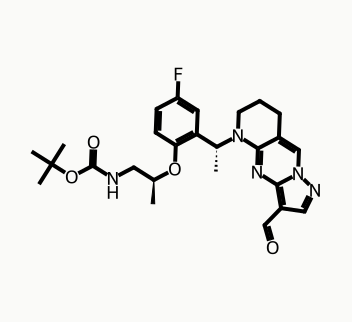 C[C@H](c1cc(F)ccc1O[C@@H](C)CNC(=O)OC(C)(C)C)N1CCCc2cn3ncc(C=O)c3nc21